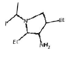 CCC1CN(C(C)I)C(CC)C1N